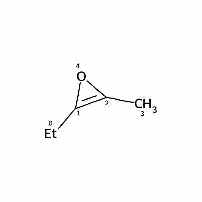 CCC1=C(C)O1